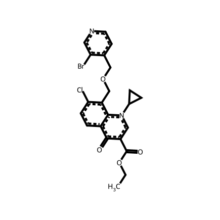 CCOC(=O)c1cn(C2CC2)c2c(COCc3ccncc3Br)c(Cl)ccc2c1=O